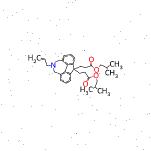 C=CCN1Cc2cccc3c2-c2c(cccc2C3(CCC(=O)OCC(C)C)CCC(=O)OCC(C)C)C1